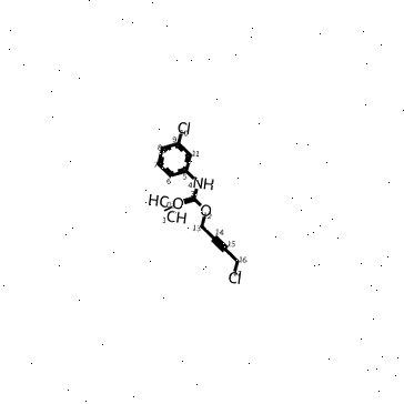 C#C.O=C(Nc1cccc(Cl)c1)OCC#CCCl